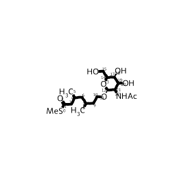 CSC(=O)CC(C)CC(C)CCO[C@@H]1OC(CO)[C@@H](O)C(O)C1NC(C)=O